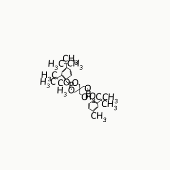 Cc1ccc(OP2OCC3(CO2)COP(Oc2ccc(C(C)(C)C)cc2C(C)(C)C)OC3)c(C(C)(C)C)c1